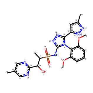 COc1cccc(OC)c1-n1c(NS(=O)(=O)C(C)C(O)c2ncc(C)cn2)nnc1-c1cc(C)n[nH]1